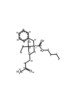 CCCCOC(=O)[N+](CCCCC(N)=O)(Cc1ccccc1)C(C)(C)CC